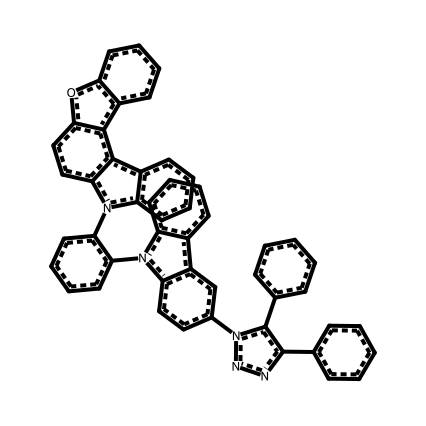 c1ccc(-c2nnn(-c3ccc4c(c3)c3ccccc3n4-c3ccccc3-n3c4ccccc4c4c5c(ccc43)oc3ccccc35)c2-c2ccccc2)cc1